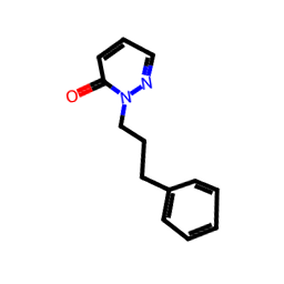 O=c1cccnn1CCCc1ccccc1